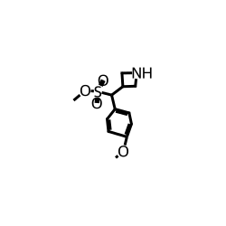 COc1ccc(C(C2CNC2)S(=O)(=O)OC)cc1